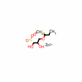 C=O.CCC(=S)OCC(O)CO.[O-]S[O-].[Zn+2]